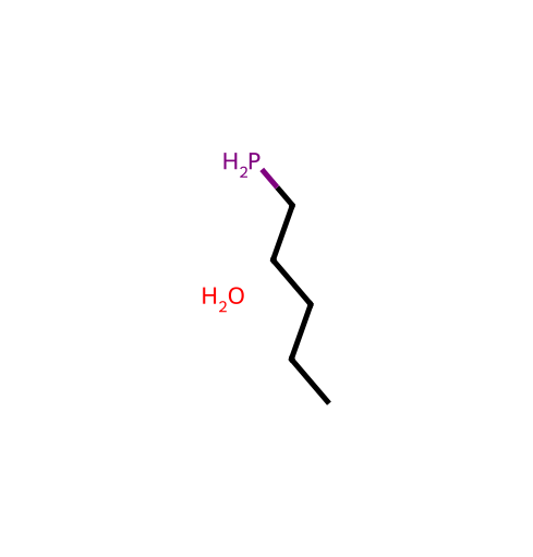 CCCCCP.O